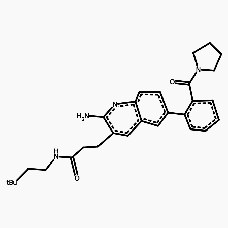 CC(C)(C)CCNC(=O)CCc1cc2cc(-c3ccccc3C(=O)N3CCCC3)ccc2nc1N